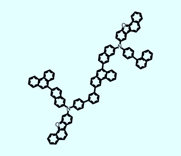 c1cc(-c2ccc(N(c3ccc4cc(-c5cc6ccccc6c6ccccc56)ccc4c3)c3ccc4c(c3)oc3c5ccccc5ccc43)cc2)cc(-c2ccc3cc(-c4ccc5ccc(N(c6ccc(-c7cccc8ccccc78)cc6)c6ccc7oc8c9ccccc9ccc8c7c6)cc5c4)c4ccccc4c3c2)c1